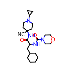 N#CC1(NC(=O)C(CC2CCCCC2)NC(=O)N2CCOCC2)CCN(C2CC2)CC1